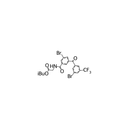 CC(C)COC(=O)CNC(=O)c1cc(Br)cc(C(=O)c2cc(Br)cc(C(F)(F)F)c2)c1